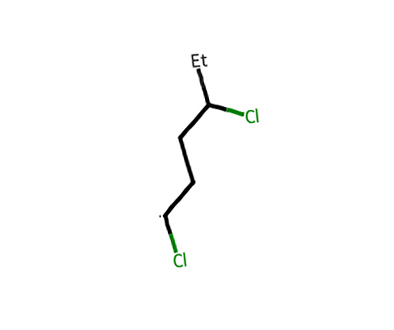 CCC(Cl)CC[CH]Cl